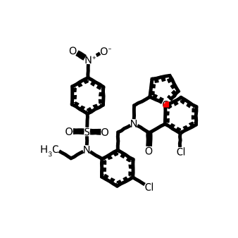 CCN(c1ccc(Cl)cc1CN(Cc1ccco1)C(=O)c1ccccc1Cl)S(=O)(=O)c1ccc([N+](=O)[O-])cc1